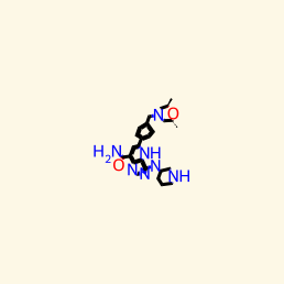 C[C@@H]1CN(Cc2ccc(-c3cc(C(N)=O)c4ncnc(N[C@H]5CCCNC5)c4n3)cc2)C[C@@H](C)O1